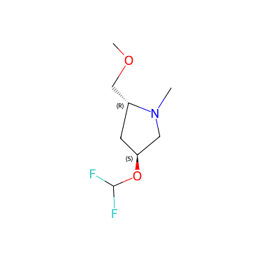 COC[C@H]1C[C@H](OC(F)F)CN1C